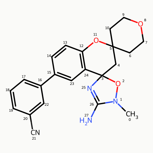 CN1OC2(CC3(CCOCC3)Oc3ccc(-c4cccc(C#N)c4)cc32)N=C1N